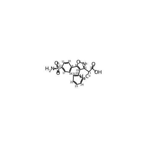 CC(C(=O)O)c1noc(-c2ccc(S(N)(=O)=O)cc2)c1-c1ccccc1